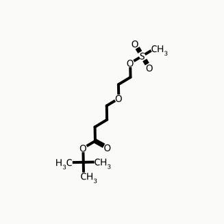 CC(C)(C)OC(=O)CCCOCCOS(C)(=O)=O